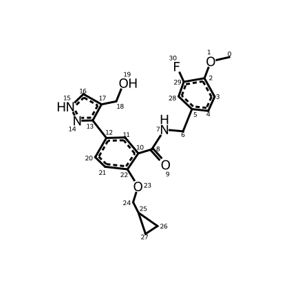 COc1ccc(CNC(=O)c2cc(-c3n[nH]cc3CO)ccc2OCC2CC2)cc1F